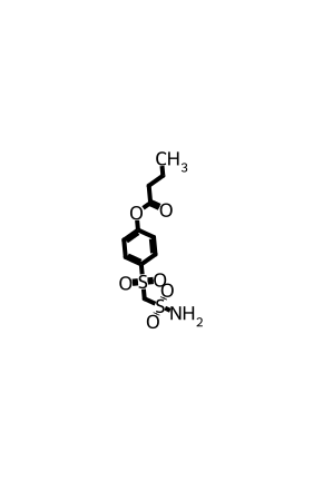 CCCC(=O)Oc1ccc(S(=O)(=O)CS(N)(=O)=O)cc1